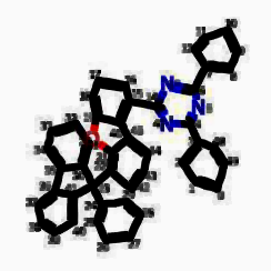 c1ccc(-c2nc(-c3ccccc3)nc(-c3cccc4oc5c(C6(c7ccccc7)c7ccccc7-c7ccccc76)cccc5c34)n2)cc1